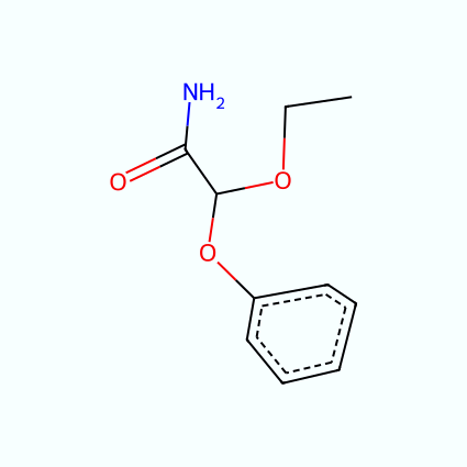 CCOC(Oc1ccccc1)C(N)=O